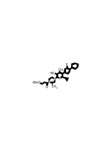 COCCC(=O)N1CCN(c2nc(C3CC3)c(-c3ccc(-c4ccccc4)c(F)c3)c(C)c2C#N)C[C@H]1C